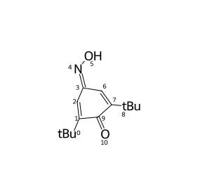 CC(C)(C)C1=CC(=NO)C=C(C(C)(C)C)C1=O